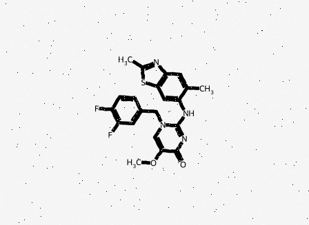 COc1cn(Cc2ccc(F)c(F)c2)c(Nc2cc3sc(C)nc3cc2C)nc1=O